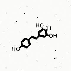 [2H]c1c(O)cc(C=Cc2ccc(O)cc2)cc1O